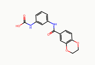 O=C(O)Nc1cccc(NC(=O)c2ccc3c(c2)OCCO3)c1